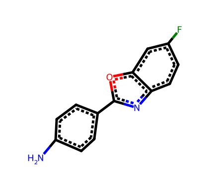 Nc1ccc(-c2nc3ccc(F)cc3o2)cc1